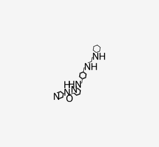 O=C(Nc1ccncc1)c1cccc(NCc2ccc(CNCCCNC3CCCCC3)cc2)n1